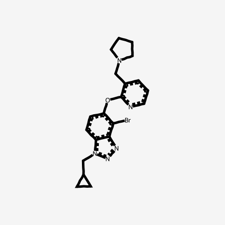 Brc1c(Oc2ncccc2CN2CCCC2)ccc2c1nnn2CC1CC1